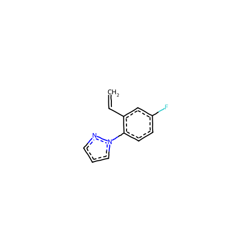 C=Cc1cc(F)ccc1-n1cccn1